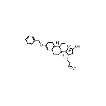 C[C@]12CC[C@@H]3c4ccc(OCc5ccccc5)cc4CC[C@H]3[C@@H]1[C@@H](CCC(=O)O)C[C@@H]2O